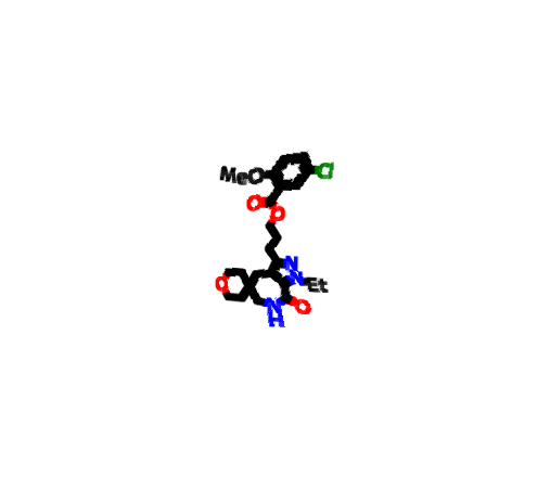 CCn1nc(CCCOC(=O)c2cc(Cl)ccc2OC)c2c1C(=O)NCC1(CCOCC1)C2